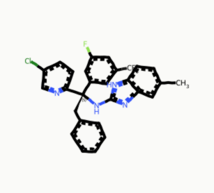 Cc1ccc2[nH]c(N[C@@](Cc3ccccc3)(c3cc(F)cc(C(F)(F)F)c3)c3ccc(Cl)cn3)nc2c1